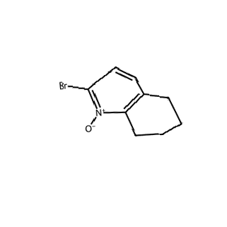 [O-][n+]1c(Br)ccc2c1CCCC2